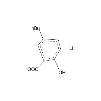 CCCCc1ccc(O)c(C(=O)[O-])c1.[Li+]